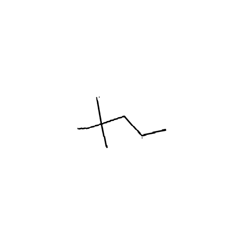 [CH2]C(C)(C)C[CH]C